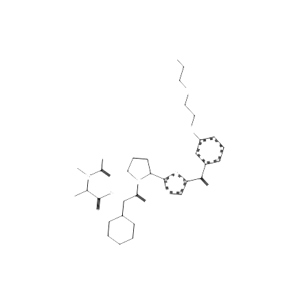 CC(C(=O)N[C@H](C(=O)N1CCCC1c1nc(C(=O)c2cccc(OCCOCCO)c2)cs1)C1CCCCC1)N(C)C(=O)O